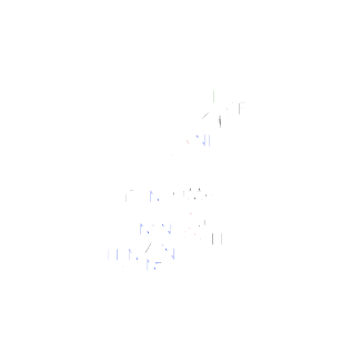 CO[C@H](CN(C(C)C)[C@H]1C[C@H](CCC(=O)NC2C=C(Cl)C(C(F)(F)F)=C2)C1)[C@H]1OC(C)(C)O[C@H]1n1cnc2c(N)ncnc21